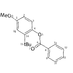 COc1ccc(OC(=O)c2ccccc2)c(C(C)(C)C)c1